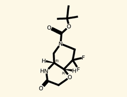 CC(C)(C)OC(=O)N1C[C@H]2NC(=O)CO[C@H]2C(F)(F)C1